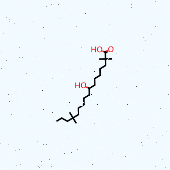 CCCC(C)(C)CCCCCC(O)CCCCCC(C)(C)C(=O)O